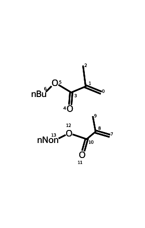 C=C(C)C(=O)OCCCC.C=C(C)C(=O)OCCCCCCCCC